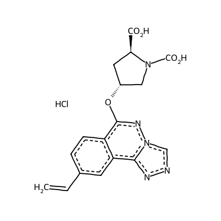 C=Cc1ccc2c(O[C@@H]3C[C@@H](C(=O)O)N(C(=O)O)C3)nn3cnnc3c2c1.Cl